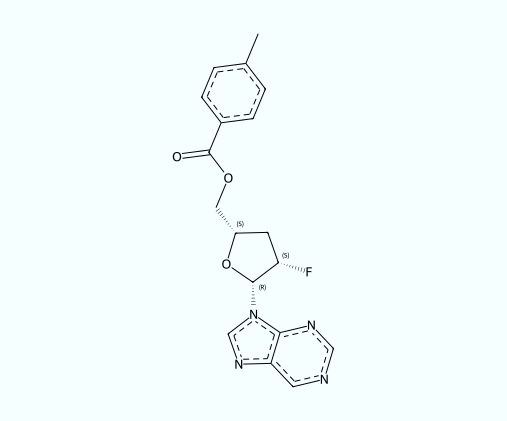 Cc1ccc(C(=O)OC[C@@H]2C[C@H](F)[C@H](n3cnc4cncnc43)O2)cc1